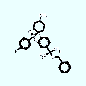 N[C@H]1CC[C@@](c2ccc(C(OCc3ccccc3)(C(F)(F)F)C(F)(F)F)cc2)(S(=O)(=O)c2ccc(F)cc2)CC1